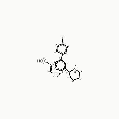 Fc1ccc(-c2cncc(C3CCCCN3)c2)cc1.O=C(O)/C=C/C(=O)O